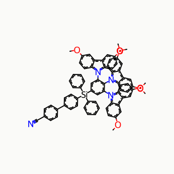 COc1ccc2c(c1)c1cc(OC)ccc1n2-c1cc([Si](c2ccccc2)(c2ccccc2)c2ccc(-c3ccc(C#N)cc3)cc2)cc(-n2c3ccc(OC)cc3c3cc(OC)ccc32)c1-n1c2ccc(OC)cc2c2cc(OC)ccc21